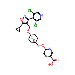 O=C(O)c1ccc(OCC23CCC(OCc4c(-c5c(Cl)cncc5Cl)noc4C4CC4)(CC2)CC3)nc1